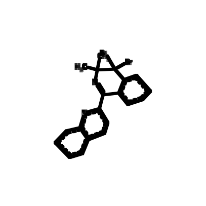 CC1(C)N=C(c2ccc3ccccc3n2)c2ccccc2C1(Br)Br